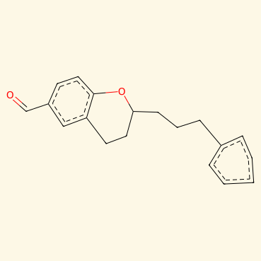 O=Cc1ccc2c(c1)CCC(CCCc1ccccc1)O2